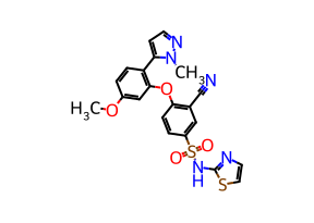 COc1ccc(-c2ccnn2C)c(Oc2ccc(S(=O)(=O)Nc3nccs3)cc2C#N)c1